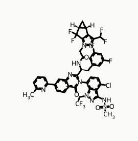 Cc1cccc(-c2ccc3c(=O)n(-c4ccc(Cl)c5c(NS(C)(=O)=O)nn(CC(F)(F)F)c45)c([C@H](Cc4cc(F)cc(F)c4)NC(=O)Cn4nc(C(F)F)c5c4C(F)(F)[C@@H]4C[C@H]54)nc3c2)n1